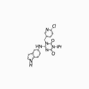 CC(C)n1c(=O)nc(Nc2ccc3[nH]ccc3c2)n(Cc2ccc(Cl)nc2)c1=O